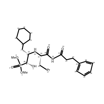 COP(=O)(OC)[C@@H](O)[C@H](CC1CCCCC1)N[C@@H](CC(C)C)C(=O)NC(=O)CCc1ccccc1